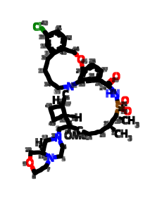 CO[C@]1(CN2CCN3CCOC[C@H]3C2)CCC[C@H](C)[C@@H](C)S(=O)(=O)NC(=O)c2ccc3c(c2)N(CCCCc2cc(Cl)ccc2CO3)C[C@@H]2CC[C@H]21